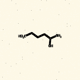 NC(O)CCCC(=O)O